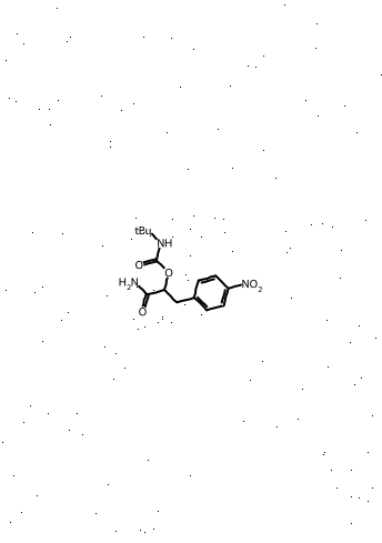 CC(C)(C)NC(=O)OC(Cc1ccc([N+](=O)[O-])cc1)C(N)=O